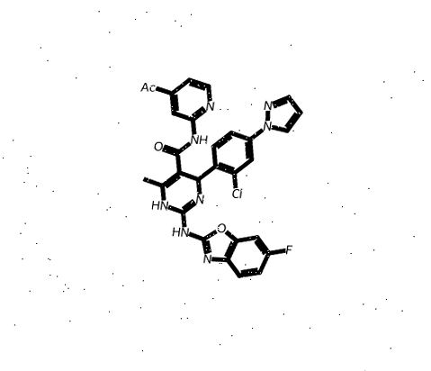 CC(=O)c1ccnc(NC(=O)C2=C(C)NC(Nc3nc4ccc(F)cc4o3)=NC2c2ccc(-n3cccn3)cc2Cl)c1